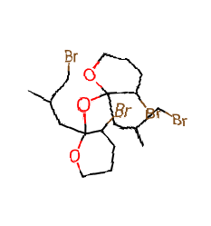 CC(CBr)CC1(OC2(CC(C)CBr)OCCCC2Br)OCCCC1Br